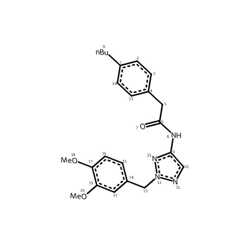 CCCCc1ccc(CC(=O)Nc2cnn(Cc3ccc(OC)c(OC)c3)n2)cc1